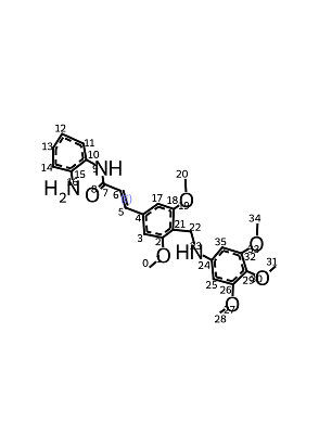 COc1cc(/C=C/C(=O)Nc2ccccc2N)cc(OC)c1CNc1cc(OC)c(OC)c(OC)c1